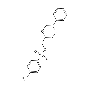 Cc1ccc(S(=O)(=O)OCC2COC(c3ccccc3)CO2)cc1